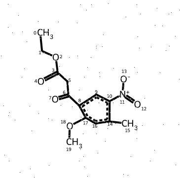 CCOC(=O)CC(=O)c1cc([N+](=O)[O-])c(C)cc1OC